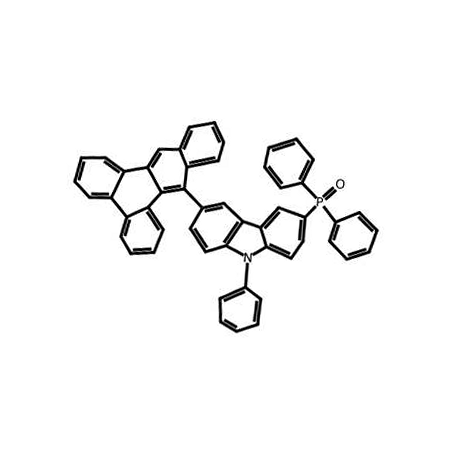 O=P(c1ccccc1)(c1ccccc1)c1ccc2c(c1)c1cc(-c3c4ccccc4cc4c5ccccc5c5ccccc5c34)ccc1n2-c1ccccc1